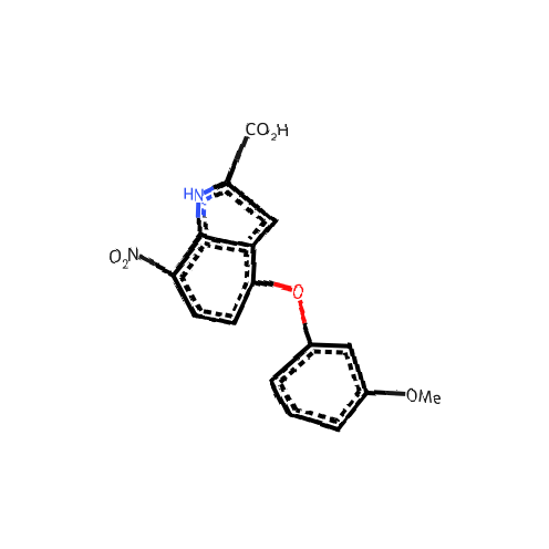 COc1cccc(Oc2ccc([N+](=O)[O-])c3[nH]c(C(=O)O)cc23)c1